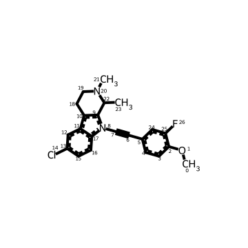 COc1ccc(C#Cn2c3c(c4cc(Cl)ccc42)CCN(C)C3C)cc1F